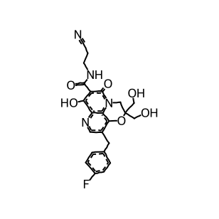 N#CCCNC(=O)c1c(O)c2ncc(Cc3ccc(F)cc3)c3c2n(c1=O)CC(CO)(CO)O3